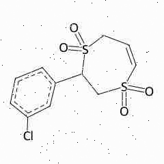 O=S1(=O)C=CCS(=O)(=O)C(c2cccc(Cl)c2)C1